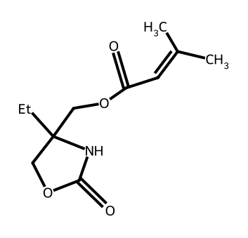 CCC1(COC(=O)C=C(C)C)COC(=O)N1